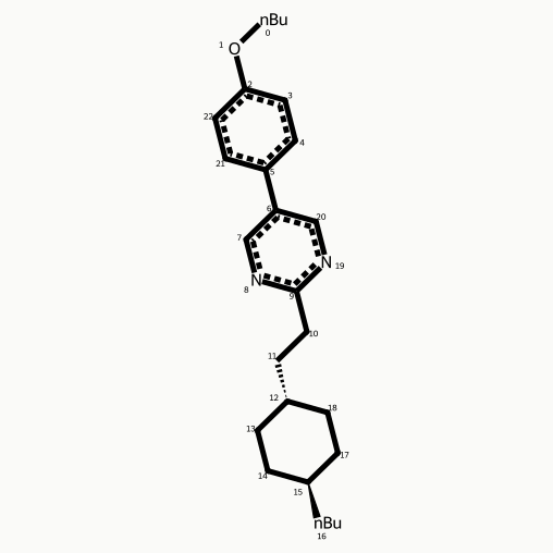 CCCCOc1ccc(-c2cnc(CC[C@H]3CC[C@H](CCCC)CC3)nc2)cc1